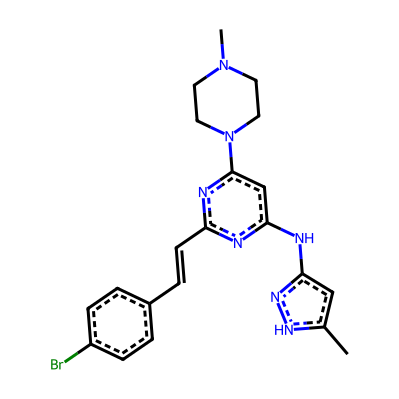 Cc1cc(Nc2cc(N3CCN(C)CC3)nc(/C=C/c3ccc(Br)cc3)n2)n[nH]1